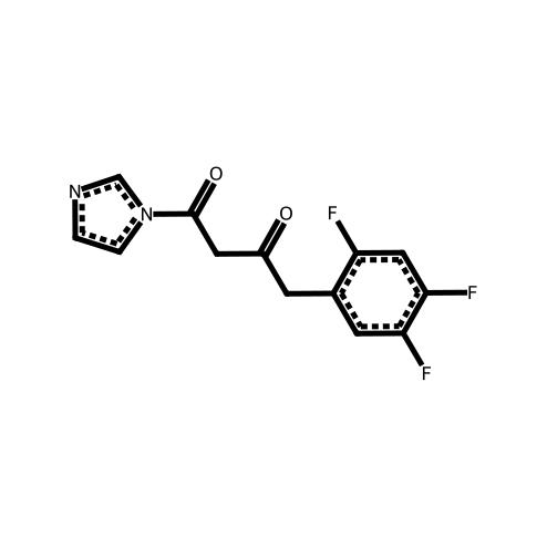 O=C(CC(=O)n1ccnc1)Cc1cc(F)c(F)cc1F